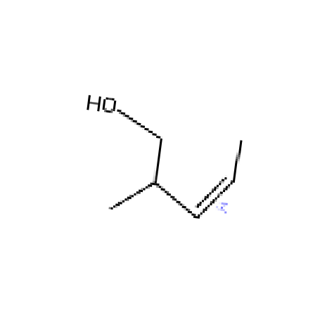 C/C=C\C(C)CO